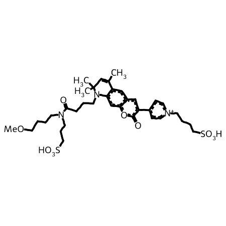 COCCCCN(CCCS(=O)(=O)O)C(=O)CCCN1c2cc3oc(=O)c(-c4cc[n+](CCCCS(=O)(=O)O)cc4)cc3cc2C(C)=CC1(C)C